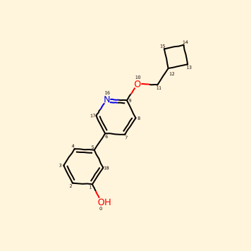 Oc1cccc(-c2ccc(OCC3CCC3)nc2)c1